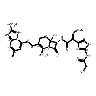 CON=C(C(=O)N[C@@H]1C(=O)N2C(C(=O)O)=C(CSc3cc(C)nc4nc(C(=O)O)nn34)CS[C@H]12)c1csc(NC(=O)CCl)n1